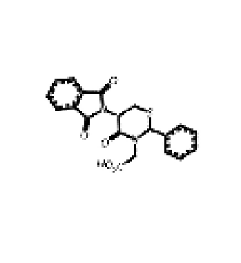 O=C(O)CN1C(=O)[C@@H](N2C(=O)c3ccccc3C2=O)CSC1c1ccccc1